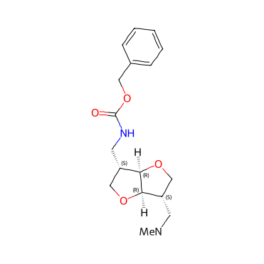 CNC[C@H]1CO[C@@H]2[C@@H](CNC(=O)OCc3ccccc3)CO[C@H]12